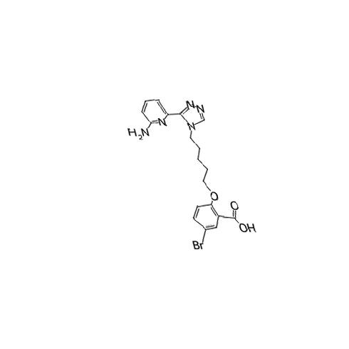 Nc1cccc(-c2nncn2CCCCCOc2ccc(Br)cc2C(=O)O)n1